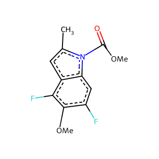 COC(=O)n1c(C)cc2c(F)c(OC)c(F)cc21